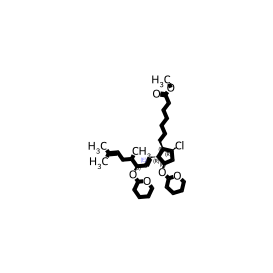 COC(=O)CCCCCC[C@@H]1[C@@H](/C=C/[C@@H](OC2CCCCO2)C(C)CC=C(C)C)[C@H](OC2CCCCO2)C[C@H]1Cl